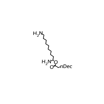 CCCCCCCCCCCC(=O)OC(N)CCCCCCCCCN